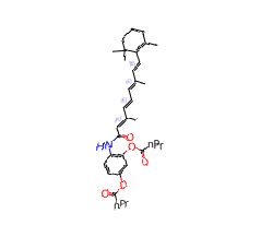 CCCC(=O)Oc1ccc(NC(=O)/C=C(C)/C=C/C=C(C)/C=C/C2=C(C)CCCC2(C)C)c(OC(=O)CCC)c1